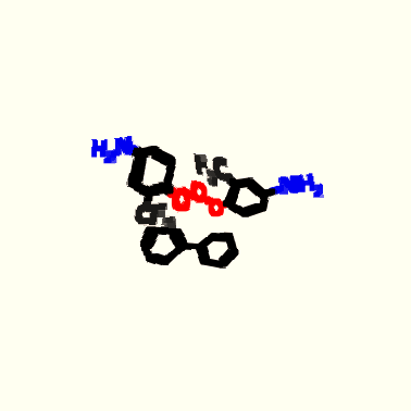 Nc1ccc(OOOc2ccc(N)cc2C(F)(F)F)c(C(F)(F)F)c1.c1ccc(-c2ccccc2)cc1